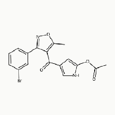 CC(=O)Oc1cc(C(=O)c2c(-c3cccc(Br)c3)noc2C)c[nH]1